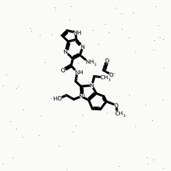 CCn1c(CNC(=O)c2nc3cc[nH]c3nc2N)[n+](CCO)c2ccc(OC)cc21.O=C[O-]